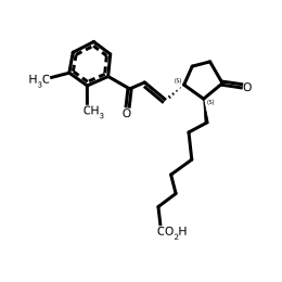 Cc1cccc(C(=O)C=C[C@@H]2CCC(=O)[C@H]2CCCCCCC(=O)O)c1C